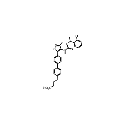 CCOC(=O)CCCc1ccc(-c2ccc(-c3onc(C)c3NC(=O)OC(C)c3ccccc3Cl)cc2)cc1